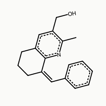 Cc1nc2c(cc1CO)CCC/C2=C/c1ccccc1